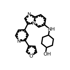 OC1CCC(Nc2ccc3ncc(-c4ccnc(-c5ccoc5)c4)n3c2)CC1